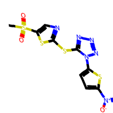 CS(=O)(=O)c1cnc(Sc2nnnn2-c2ccc([N+](=O)[O-])s2)s1